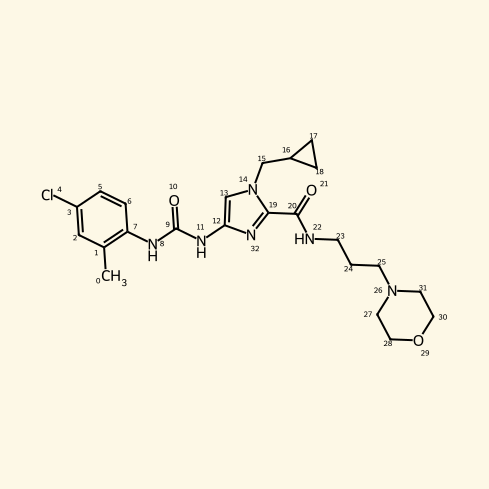 Cc1cc(Cl)ccc1NC(=O)Nc1cn(CC2CC2)c(C(=O)NCCCN2CCOCC2)n1